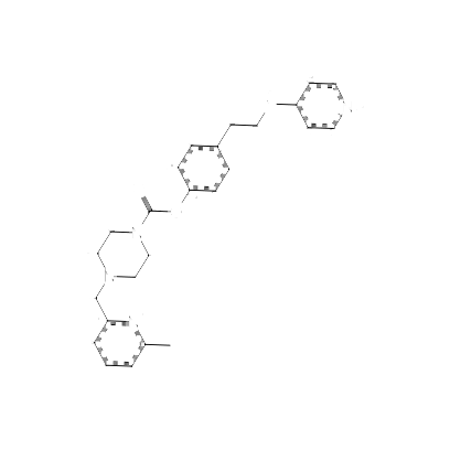 Cc1cccc(CN2CCN(C(=O)Oc3ccc(CCSc4ccncc4)cc3)CC2)n1